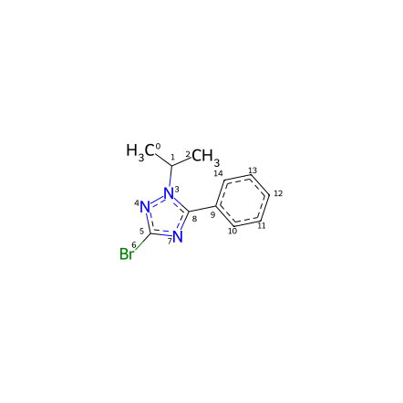 CC(C)n1nc(Br)nc1-c1ccccc1